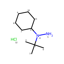 CC(C)(C)N(N)C1CCCCC1.Cl